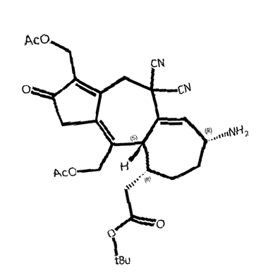 CC(=O)OCC1=C2CC(C#N)(C#N)C3=C[C@H](N)CC[C@H](CC(=O)OC(C)(C)C)[C@@H]3C(COC(C)=O)=C2CC1=O